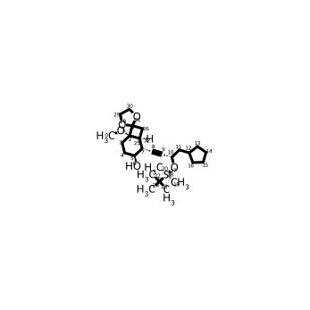 CO[C@@]12CC[C@H](O)[C@@H](C#C[C@H](CC3CCCC3)O[Si](C)(C)C(C)(C)C)[C@@H]1CC21OCCO1